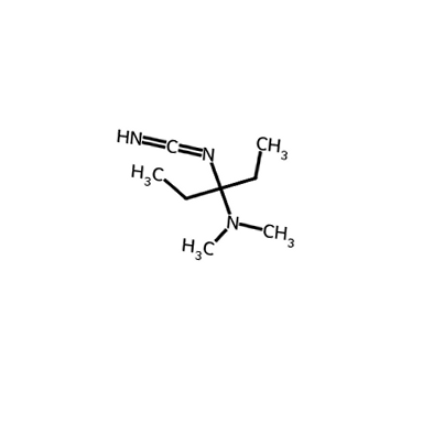 CCC(CC)(N=C=N)N(C)C